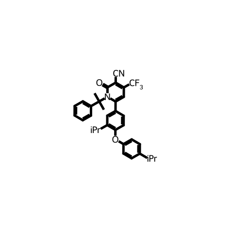 CC(C)c1ccc(Oc2ccc(-c3cc(C(F)(F)F)c(C#N)c(=O)n3C(C)(C)c3ccccc3)cc2C(C)C)cc1